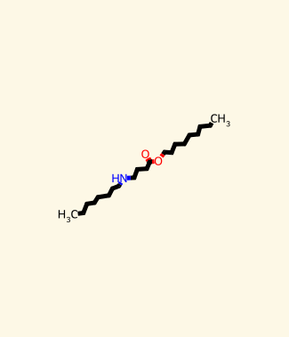 CCCCCCCCCOC(=O)CCCNCCCCCCCC